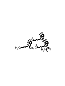 CC(N)=O.CCCCCCCC[S+]([O-])C(C)Cc1ccc2c(c1)OCO2.CCCCCCCC[S+]([O-])C(C)Cc1ccc2c(c1)OCO2.CCCCCCCC[S+]([O-])C(C)Cc1ccc2c(c1)OCO2